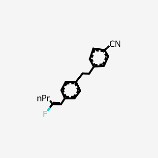 CCC/C(F)=C\c1ccc(CCc2ccc(C#N)cc2)cc1